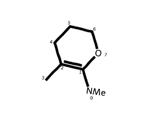 CNC1=C(C)CCCO1